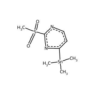 CS(=O)(=O)c1ncc[c]([Sn]([CH3])([CH3])[CH3])n1